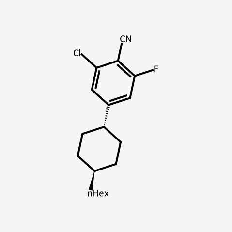 CCCCCC[C@H]1CC[C@H](c2cc(F)c(C#N)c(Cl)c2)CC1